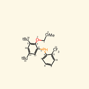 COCOc1c(Pc2ccccc2C(F)(F)F)cc(C(C)(C)C)cc1C(C)(C)C